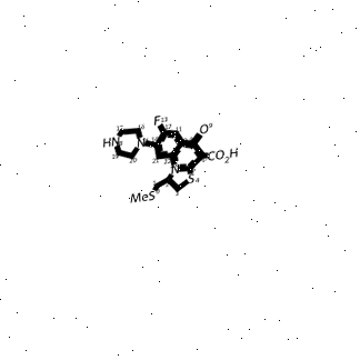 CSCC1CSc2c(C(=O)O)c(=O)c3cc(F)c(N4CCNCC4)cc3n21